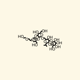 CC(C)C1OC(COC2OC(CO)C(O)C(OC3CN(CCOCCO)CC(CO)O3)C2O)C(O)C(OC2OC(CO)C(O)C(O)C2O)C1O